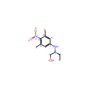 CC[C@@H](CO)Nc1cc(C)c([N+](=O)[O-])c(C)c1